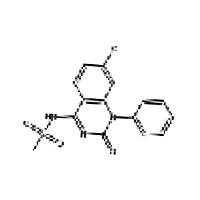 CS(=O)(=O)Nc1nc(=O)n(-c2ccccc2)c2cc(Cl)ccc12